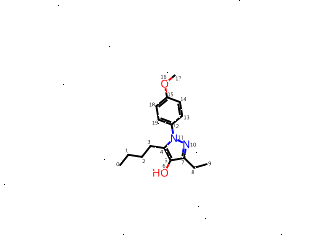 CCCCc1c(O)c(CC)nn1-c1ccc(OC)cc1